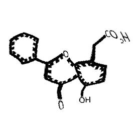 O=C(O)Cc1ccc(O)c2c(=O)cc(-c3ccccc3)oc12